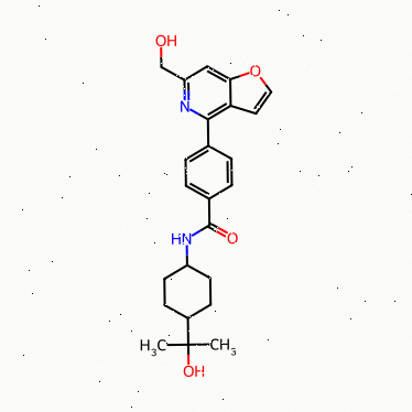 CC(C)(O)C1CCC(NC(=O)c2ccc(-c3nc(CO)cc4occc34)cc2)CC1